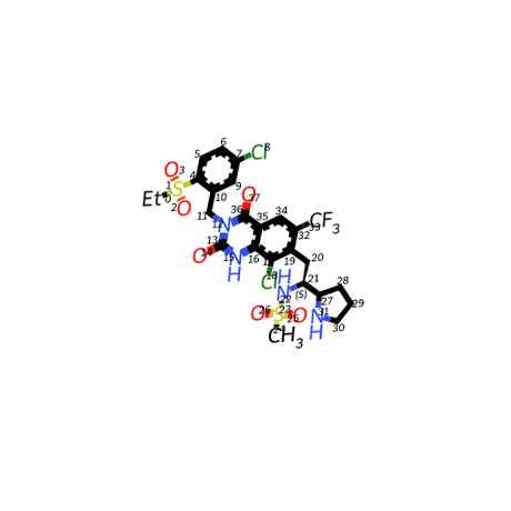 CCS(=O)(=O)c1ccc(Cl)cc1Cn1c(=O)[nH]c2c(Cl)c(C[C@H](NS(C)(=O)=O)C3CCCN3)c(C(F)(F)F)cc2c1=O